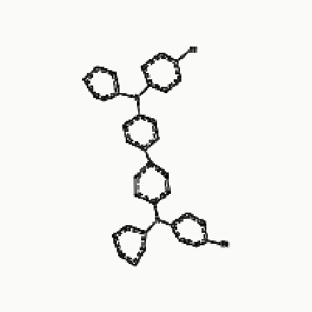 CCc1ccc(N(c2ccccc2)c2ccc(-c3ccc(N(c4ccccc4)c4ccc(CC)cc4)cc3)cc2)cc1